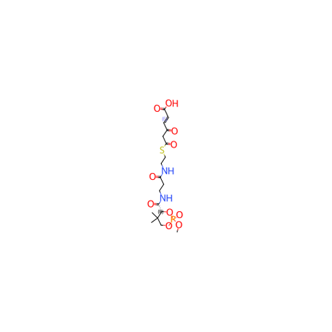 COP1(=O)OCC(C)(C)[C@H](C(=O)NCCC(=O)NCCSC(=O)CC(=O)/C=C/C(=O)O)O1